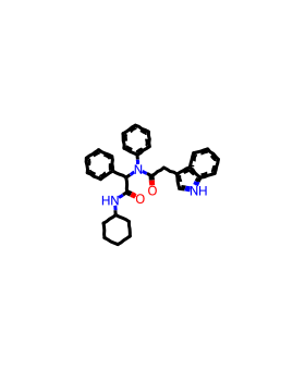 O=C(NC1CCCCC1)C(c1ccccc1)N(C(=O)Cc1c[nH]c2ccccc12)c1ccccc1